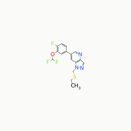 CCSCn1ncc2ncc(-c3ccc(F)c(OC(F)F)c3)cc21